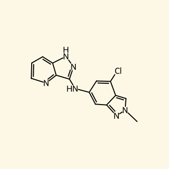 Cn1cc2c(Cl)cc(Nc3n[nH]c4cccnc34)cc2n1